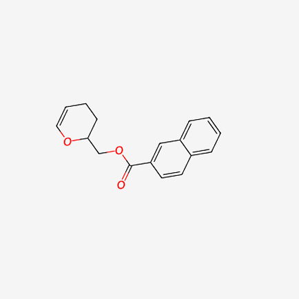 O=C(OCC1CCC=CO1)c1ccc2ccccc2c1